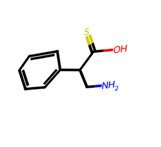 NCC(C(O)=S)c1ccccc1